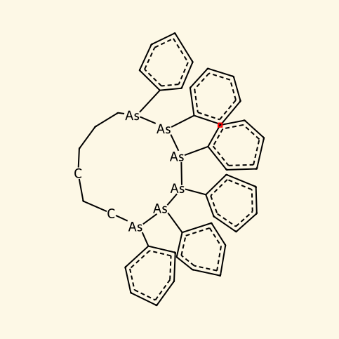 c1ccc([As]2CCCCCC[As](c3ccccc3)[As](c3ccccc3)[As](c3ccccc3)[As](c3ccccc3)[As]2c2ccccc2)cc1